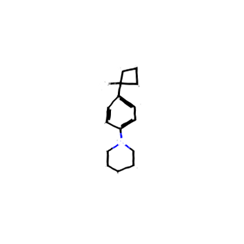 O=[N+]([O-])C1(c2ccc(N3CCCCC3)cc2)CCC1